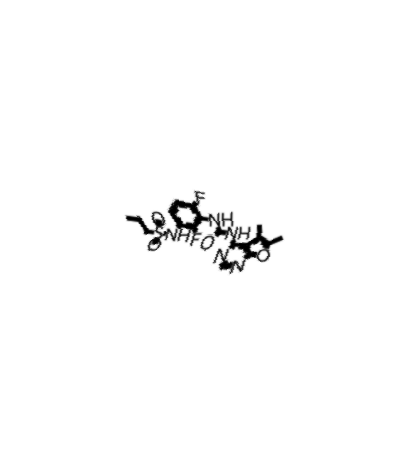 CCCS(=O)(=O)Nc1ccc(F)c(NC(=O)Nc2ncnc3oc(C)c(C)c23)c1F